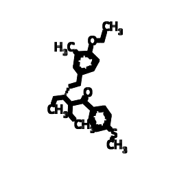 CCOc1ccc(CC[C@@H](CC)C(CC)C(=O)c2ccc(SC)cc2)cc1C